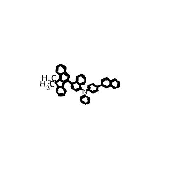 CC1(C)c2ccccc2-c2c(-c3ccc(N(c4ccccc4)c4ccc(-c5ccc6ccccc6c5)cc4)c4ccccc34)cc3ccccc3c21